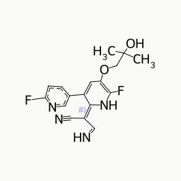 CC(C)(O)COC1=C(F)N/C(=C(/C#N)C=N)C(c2ccc(F)nc2)=C1